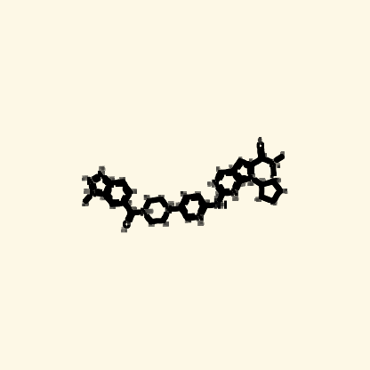 CN(C)C(=O)c1cc2cnc(Nc3ccc(N4CCN(C(=O)c5ccc6nnn(C)c6c5)CC4)cn3)nc2n1C1CCCC1